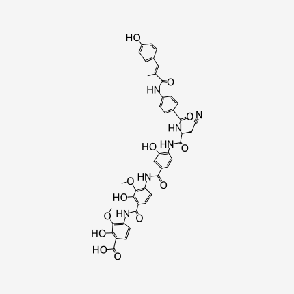 COc1c(NC(=O)c2ccc(NC(=O)c3ccc(NC(=O)[C@H](CC#N)NC(=O)c4ccc(NC(=O)/C(C)=C/c5ccc(O)cc5)cc4)c(O)c3)c(OC)c2O)ccc(C(=O)O)c1O